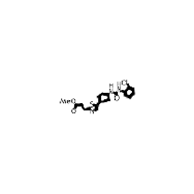 COC(=O)CCc1ncc(-c2ccc(NC(=O)Nc3ccccc3Cl)cc2)s1